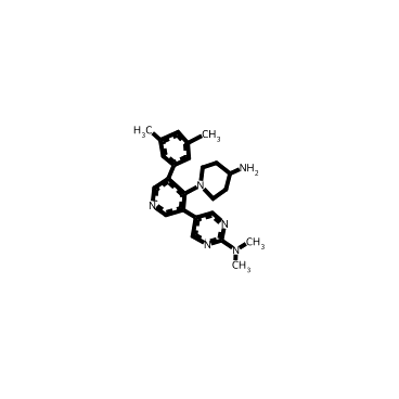 Cc1cc(C)cc(-c2cncc(-c3cnc(N(C)C)nc3)c2N2CCC(N)CC2)c1